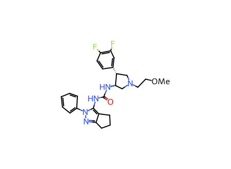 COCCN1C[C@@H](NC(=O)Nc2c3c(nn2-c2ccccc2)CCC3)[C@H](c2ccc(F)c(F)c2)C1